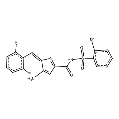 CC1=CC(C(=O)NS(=O)(=O)c2ccccc2Br)=N/C1=C/c1c(F)cccc1F